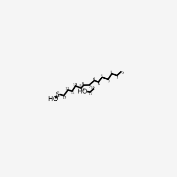 CCCCCCCCCCCCCCSO.CCO